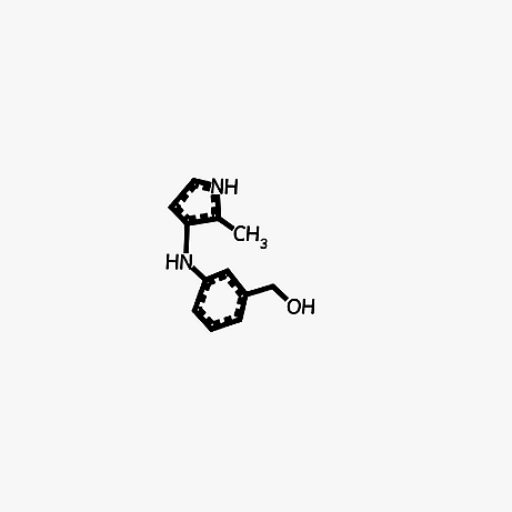 Cc1[nH]ccc1Nc1cccc(CO)c1